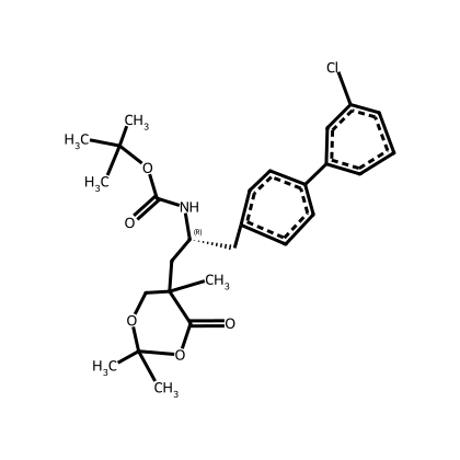 CC(C)(C)OC(=O)N[C@H](Cc1ccc(-c2cccc(Cl)c2)cc1)CC1(C)COC(C)(C)OC1=O